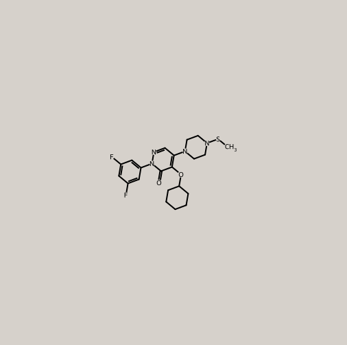 CSN1CCN(c2cnn(-c3cc(F)cc(F)c3)c(=O)c2OC2CCCCC2)CC1